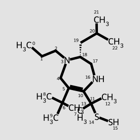 CCCN1CC(C(C)(C)C)=C(C(C)(C)SS)NC[C@H]1CC(C)C